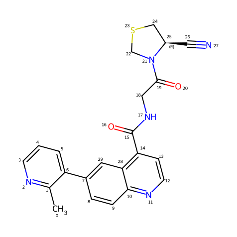 Cc1ncccc1-c1ccc2nccc(C(=O)NCC(=O)N3CSC[C@H]3C#N)c2c1